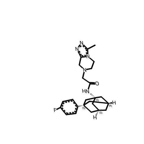 Cc1nnc2n1CCN(CC(=O)N[C@@]13C[C@H]4C[C@@H](C1)C[C@@](c1ccc(F)cc1)(C4)C3)C2